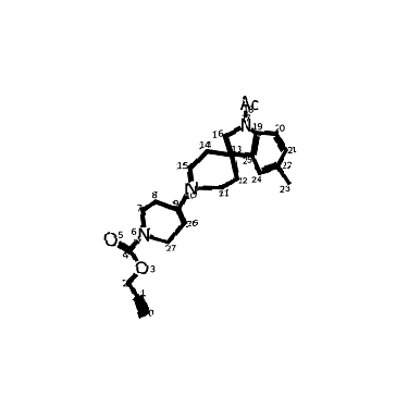 C#CCOC(=O)N1CCC(N2CCC3(CC2)CN(C(C)=O)c2ccc(C)cc23)CC1